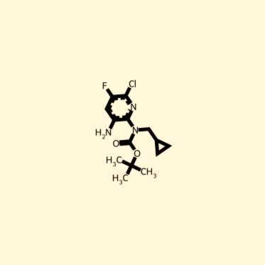 CC(C)(C)OC(=O)N(CC1CC1)c1nc(Cl)c(F)cc1N